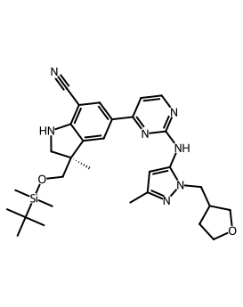 Cc1cc(Nc2nccc(-c3cc(C#N)c4c(c3)[C@@](C)(CO[Si](C)(C)C(C)(C)C)CN4)n2)n(CC2CCOC2)n1